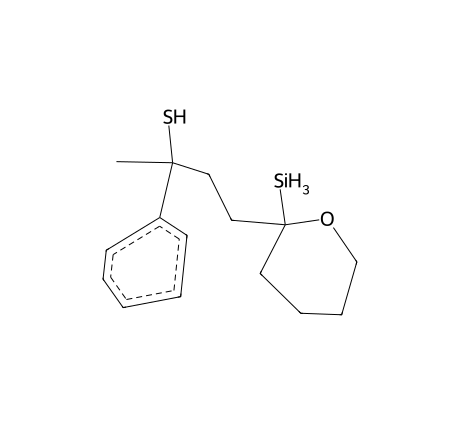 CC(S)(CCC1([SiH3])CCCCO1)c1ccccc1